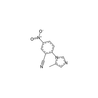 Cc1cncn1-c1ccc([N+](=O)[O-])cc1C#N